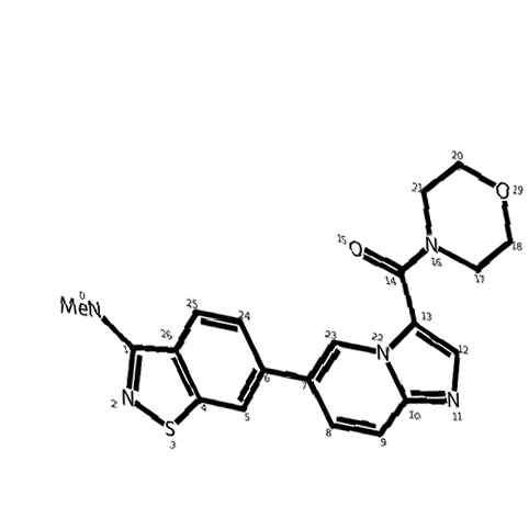 CNc1nsc2cc(-c3ccc4ncc(C(=O)N5CCOCC5)n4c3)ccc12